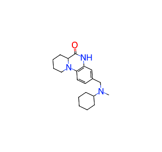 CN(Cc1ccc2c(c1)NC(=O)C1CCCCN21)C1CCCCC1